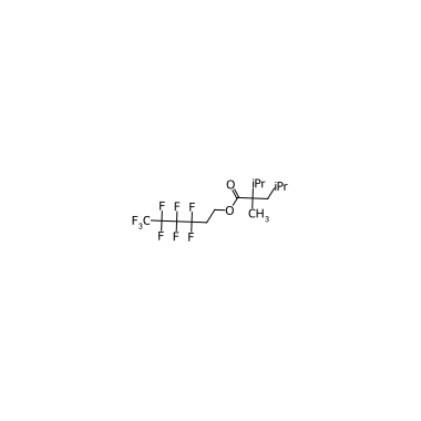 CC(C)CC(C)(C(=O)OCCC(F)(F)C(F)(F)C(F)(F)C(F)(F)F)C(C)C